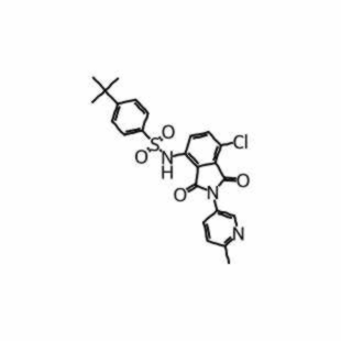 Cc1ccc(N2C(=O)c3c(Cl)ccc(NS(=O)(=O)c4ccc(C(C)(C)C)cc4)c3C2=O)cn1